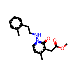 COC(=O)Cc1c(C)ccn(NCCc2ccccc2C)c1=O